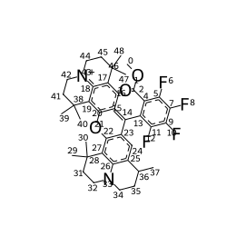 COC(=O)c1c(F)c(F)c(F)c(F)c1C1=c2cc3c4c(c2Oc2c1cc1c5c2C(C)(C)CCN5CCC1C)C(C)(C)CC[N+]=4CCC3(C)C